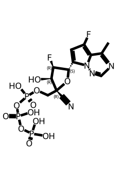 Cc1ncnn2c([C@@H]3O[C@](C#N)(COP(=O)(O)OP(=O)(O)OP(=O)(O)O)[C@@H](O)[C@H]3F)cc(F)c12